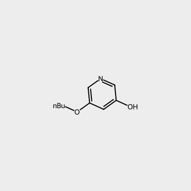 CCCCOc1cncc(O)c1